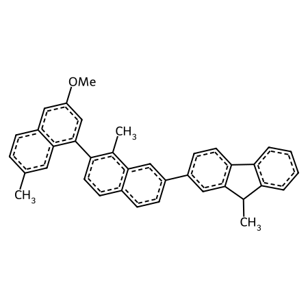 COc1cc(-c2ccc3ccc(-c4ccc5c(c4)C(C)c4ccccc4-5)cc3c2C)c2cc(C)ccc2c1